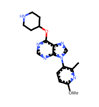 COc1ccc(-n2cnc3c(OC4CCNCC4)ncnc32)c(C)n1